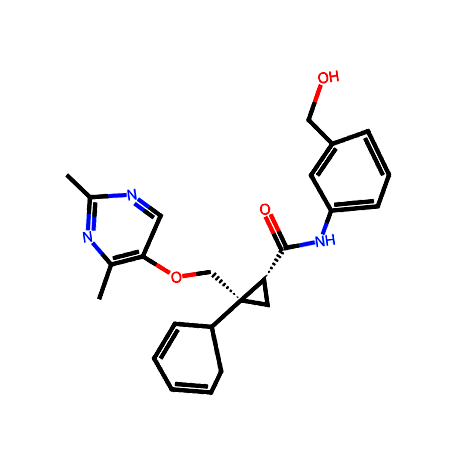 Cc1ncc(OC[C@@]2(C3C=CC=CC3)C[C@H]2C(=O)Nc2cccc(CO)c2)c(C)n1